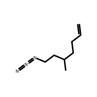 C=CCCC(C)CCN=[N+]=[N-]